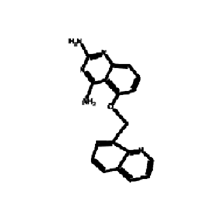 Nc1nc(N)c2c(OCc3cccc4cccnc34)cccc2n1